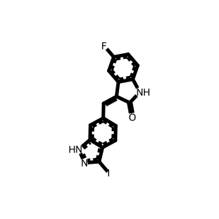 O=C1Nc2ccc(F)cc2C1=Cc1ccc2c(I)n[nH]c2c1